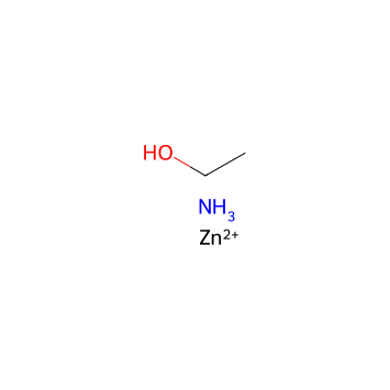 CCO.N.[Zn+2]